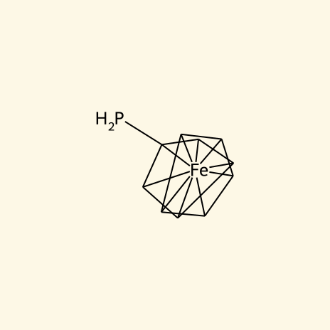 P[C]12[CH]3[CH]4[CH]5[CH]1[Fe]45321678[CH]2[CH]1[CH]6[CH]7[CH]28